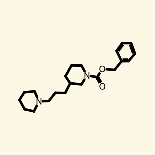 O=C(OCc1ccccc1)N1CCCC(CCCN2CCCCC2)C1